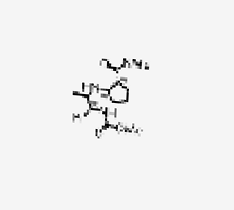 C=C(N[C@@H]1CCC[C@H]1C(=O)NC)[C@@H](NC(=O)OC)C(C)C